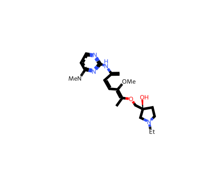 C=C(/C=C\C(OC)=C(/C)OC[C@]1(O)CCN(CC)C1)Nc1nccc(NC)n1